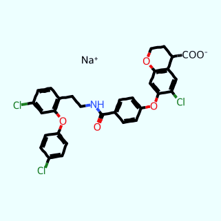 O=C(NCCc1ccc(Cl)cc1Oc1ccc(Cl)cc1)c1ccc(Oc2cc3c(cc2Cl)C(C(=O)[O-])CCO3)cc1.[Na+]